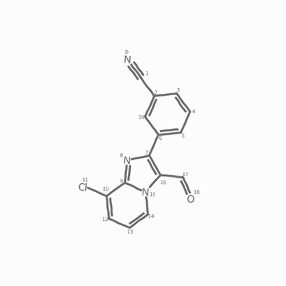 N#Cc1cccc(-c2nc3c(Cl)cccn3c2C=O)c1